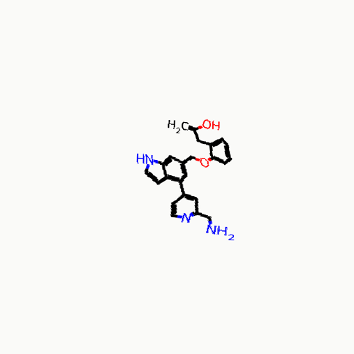 C=C(O)Cc1ccccc1OCc1cc(-c2ccnc(CN)c2)c2cc[nH]c2c1